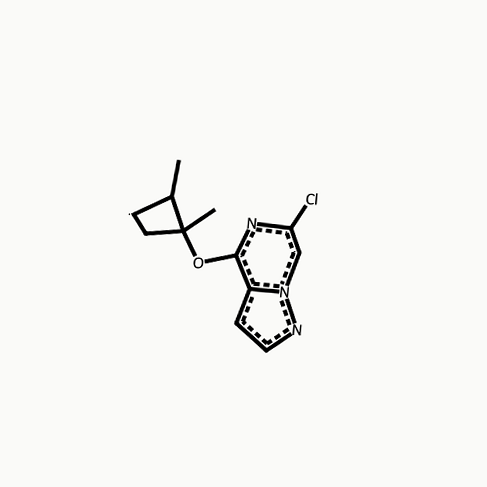 CC1[CH]CC1(C)Oc1nc(Cl)cn2nccc12